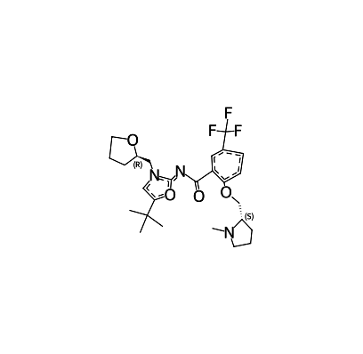 CN1CCC[C@H]1COc1ccc(C(F)(F)F)cc1C(=O)N=c1oc(C(C)(C)C)cn1C[C@H]1CCCO1